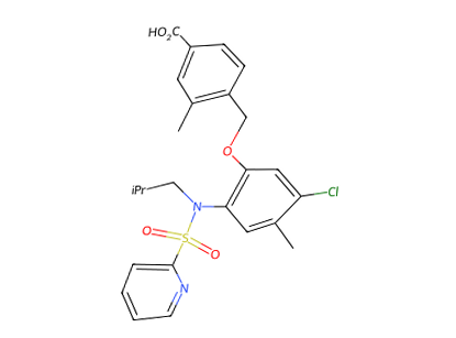 Cc1cc(N(CC(C)C)S(=O)(=O)c2ccccn2)c(OCc2ccc(C(=O)O)cc2C)cc1Cl